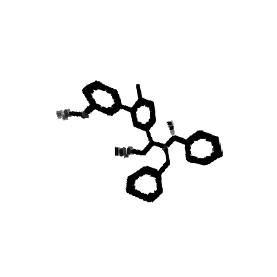 Cc1ccc(C(CC(=O)O)N(Cc2ccccc2)[C@H](C)c2ccccc2)cc1-c1cccc(OC(F)(F)F)c1